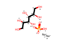 O=P([O-])([O-])O.OC[C@@H](O)[C@@H](O)[C@H](O)[C@H](O)CO.[Na+].[Na+]